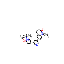 CC(C)n1cc(-c2cncc(-c3ccc4c(c3)CCCC(=O)N4C)c2)ccc1=O